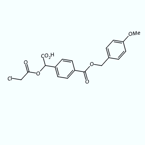 COc1ccc(COC(=O)c2ccc(C(OC(=O)CCl)C(=O)O)cc2)cc1